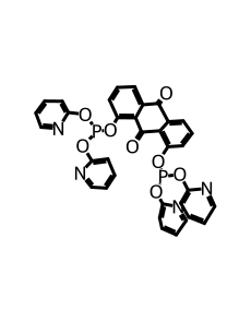 O=C1c2cccc(OP(Oc3ccccn3)Oc3ccccn3)c2C(=O)c2c(OP(Oc3ccccn3)Oc3ccccn3)cccc21